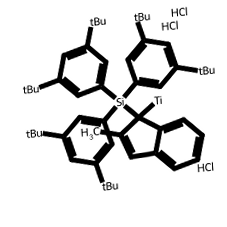 CC1=Cc2ccccc2[C]1([Ti])[Si](c1cc(C(C)(C)C)cc(C(C)(C)C)c1)(c1cc(C(C)(C)C)cc(C(C)(C)C)c1)c1cc(C(C)(C)C)cc(C(C)(C)C)c1.Cl.Cl.Cl